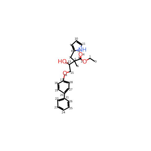 CCOC(=O)C(C)(Cc1ccc[nH]1)C(O)COc1ccc(-c2ccccc2)cc1